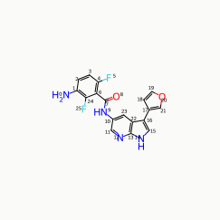 Nc1ccc(F)c(C(=O)Nc2cnc3[nH]cc(-c4ccoc4)c3c2)c1F